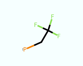 FC(F)(F)C[P]